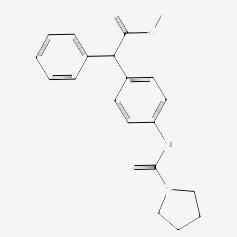 O=C(NO)C(c1ccccc1)c1ccc(NC(=O)N2CCCC2)cc1